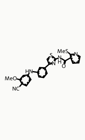 COc1cc(Nc2cccc(-c3csc(NC(=O)c4cccnc4SC)n3)c2)ccc1C#N